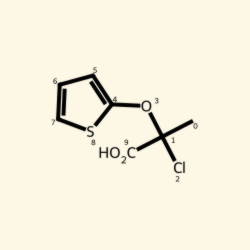 CC(Cl)(Oc1cccs1)C(=O)O